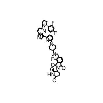 CN(Cc1ccc2c(c1F)C(=O)N(C1CCC(=O)NC1=O)C2=O)C1CCN(c2cccc(-c3cnn4ccc(N5CCC[C@@H]5c5ccc(F)cc5F)nc34)n2)CC1